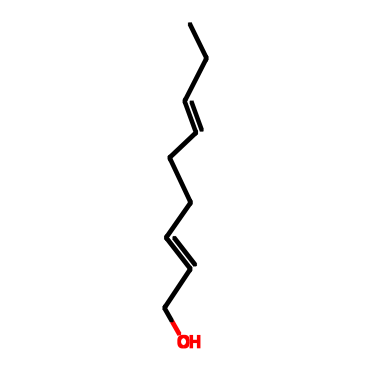 CCC=CCCC=CCO